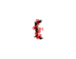 C=CC(=O)OC(C)COC(=O)CC(O)C(=O)OCC(C)OC(=O)C=C